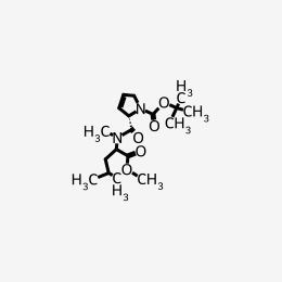 COC(=O)C(CC(C)C)N(C)C(=O)[C@@H]1C=CCN1C(=O)OC(C)(C)C